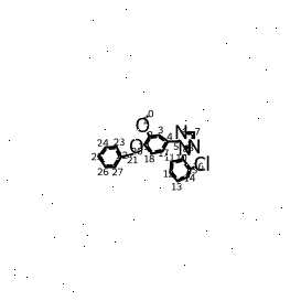 COc1cc(-c2ncnn2-c2ccccc2Cl)ccc1OCc1ccccc1